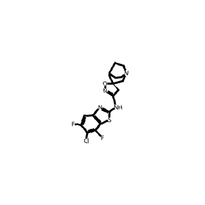 Fc1cc2nc(NC3=NO[C@@]4(C3)CN3CCC4CC3)sc2c(F)c1Cl